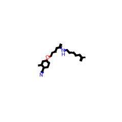 C=C(C)CCCCCNC(=C)CCCCOC1CCC(C#N)C(C)C1